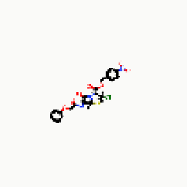 C[C@@]1(Cl)CS[C@H]2[C@H](NC(=O)COc3ccccc3)C(=O)N2[C@H]1C(=O)OCc1ccc([N+](=O)[O-])cc1